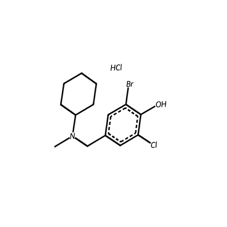 CN(Cc1cc(Cl)c(O)c(Br)c1)C1CCCCC1.Cl